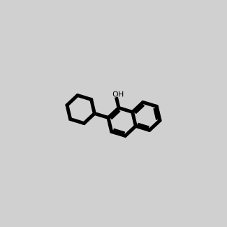 Oc1c(C2CCCCC2)ccc2ccccc12